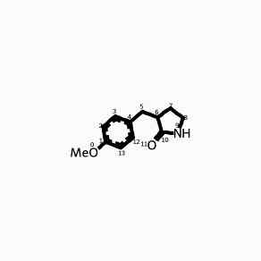 COc1ccc(CC2CCNC2=O)cc1